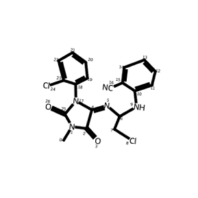 CN1C(=O)C(=NC(CCl)Nc2ccccc2C#N)N(c2ccccc2Cl)C1=O